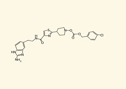 Nc1nc2cc(CCNC(=O)c3csc(C4CCN(OC(=O)OCc5ccc(Cl)cc5)CC4)n3)ccc2[nH]1